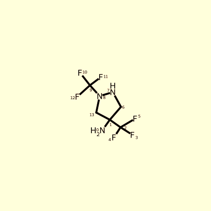 NC1(C(F)(F)F)CNN(C(F)(F)F)C1